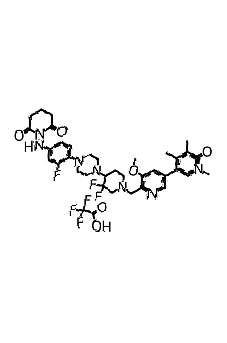 COc1cc(-c2cn(C)c(=O)c(C)c2C)cnc1CN1CCC(N2CCN(c3ccc(NN4C(=O)CCCC4=O)cc3F)CC2)C(F)(F)C1.O=C(O)C(F)(F)F